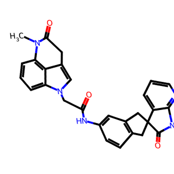 CN1C(=O)Cc2cn(CC(=O)Nc3ccc4c(c3)CC3(C4)C(=O)Nc4ncccc43)c3cccc1c23